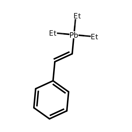 C[CH2][Pb]([CH]=Cc1ccccc1)([CH2]C)[CH2]C